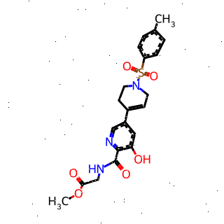 COC(=O)CNC(=O)c1ncc(C2=CCN(S(=O)(=O)c3ccc(C)cc3)CC2)cc1O